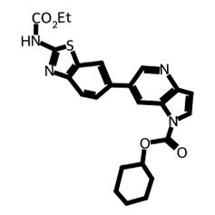 CCOC(=O)Nc1nc2ccc(-c3cnc4ccn(C(=O)OC5CCCCC5)c4c3)cc2s1